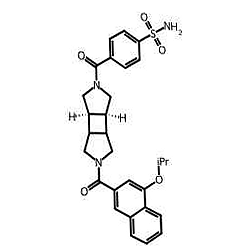 CC(C)Oc1cc(C(=O)N2CC3C(C2)[C@@H]2CN(C(=O)c4ccc(S(N)(=O)=O)cc4)C[C@H]32)cc2ccccc12